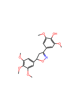 COc1cc(C2=NOC(c3cc(OC)c(OC)c(OC)c3)C2)cc(OC)c1O